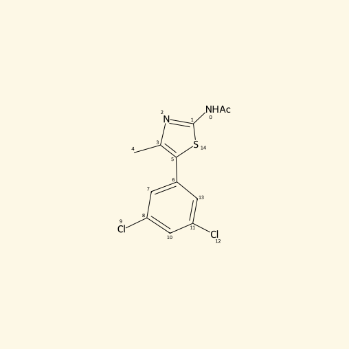 CC(=O)Nc1nc(C)c(-c2cc(Cl)cc(Cl)c2)s1